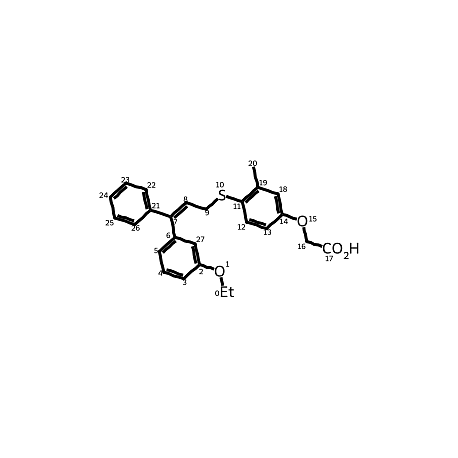 CCOc1cccc(/C(=C\CSc2ccc(OCC(=O)O)cc2C)c2ccccc2)c1